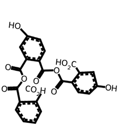 O=C(O)c1cc(O)ccc1C(=O)OC(=O)c1ccc(O)cc1C(=O)OC(=O)c1ccccc1C(=O)O